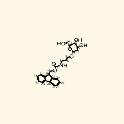 O=C(NCCCO[C@H]1C[C@@H](O)[C@@H](O)[C@@H](CO)O1)OCC1c2ccccc2-c2ccccc21